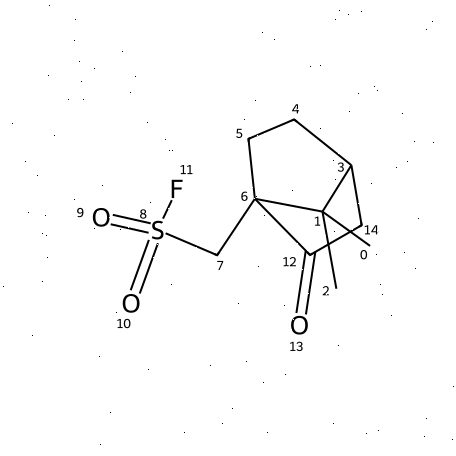 CC1(C)C2CCC1(CS(=O)(=O)F)C(=O)C2